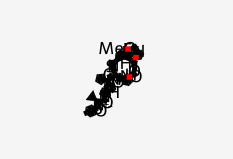 CCn1c(-c2cccnc2[C@H](C)OC)c2c3cc(ccc31)-c1csc(n1)C[C@H](NC(=O)[C@H](C1CCCC1)N1CCC[C@@]3(CCN(C(=O)[C@H]4[C@@H](C5CC5)N4[S@+]([O-])c4ccc(C)cc4)C3)C1)C(=O)N1CCC[C@H](N1)C(=O)OCC(C)(C)C2